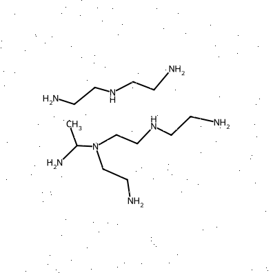 CC(N)N(CCN)CCNCCN.NCCNCCN